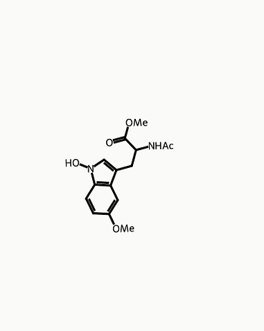 COC(=O)C(Cc1cn(O)c2ccc(OC)cc12)NC(C)=O